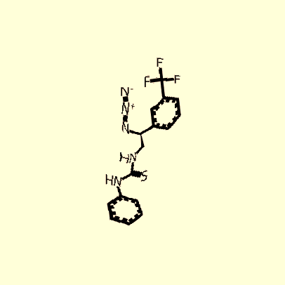 [N-]=[N+]=N[C@H](CNC(=S)Nc1ccccc1)c1cccc(C(F)(F)F)c1